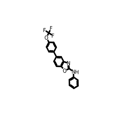 FC(F)(F)Oc1ccc(-c2ccc3oc(Nc4ccccc4)nc3c2)cc1